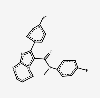 CC(C)c1ccc(-c2nc3ncccn3c2C(=O)N(C)c2ccc(F)cc2)cc1